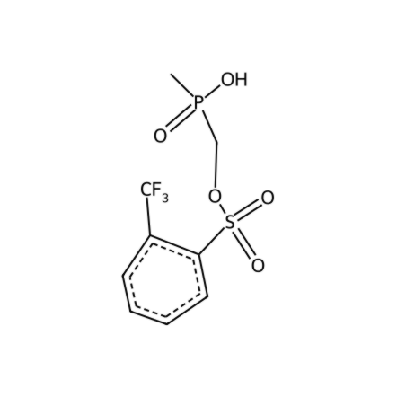 CP(=O)(O)COS(=O)(=O)c1ccccc1C(F)(F)F